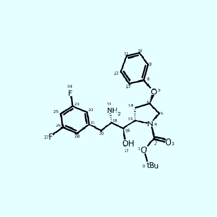 CC(C)(C)OC(=O)N1C[C@H](Oc2ccccc2)C[C@H]1[C@@H](O)[C@@H](N)Cc1cc(F)cc(F)c1